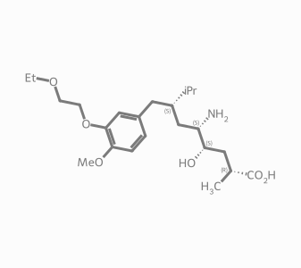 CCOCCOc1cc(C[C@@H](C[C@H](N)[C@@H](O)C[C@@H](C)C(=O)O)C(C)C)ccc1OC